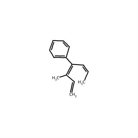 C=C/C(C)=C(\C=C/C)c1ccccc1